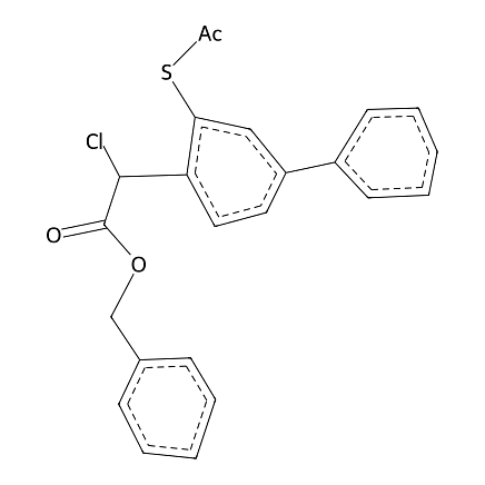 CC(=O)Sc1cc(-c2ccccc2)ccc1C(Cl)C(=O)OCc1ccccc1